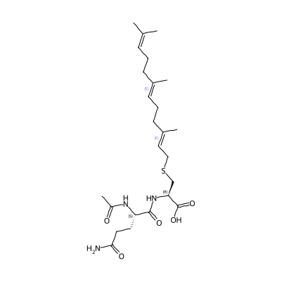 CC(=O)N[C@@H](CCC(N)=O)C(=O)N[C@@H](CSC/C=C(\C)CC/C=C(\C)CCC=C(C)C)C(=O)O